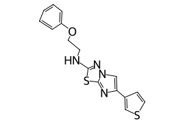 c1ccc(OCCNc2nn3cc(-c4ccsc4)nc3s2)cc1